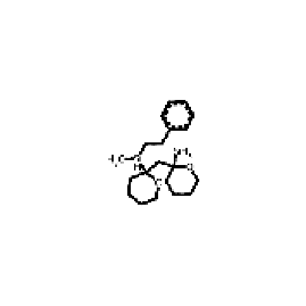 C[SiH](CCc1ccccc1)C1(CC2([SiH3])CCCCO2)CCCCO1